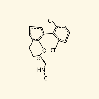 ClNC[C@H]1CCc2cccc(-c3c(Cl)cccc3Cl)c2O1